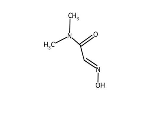 CN(C)C(=O)C=NO